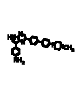 CN1CCN(c2ccc(-c3ccc(-c4cnc5[nH]cc(-c6ccc(N)cc6)c5n4)cc3)cc2)CC1